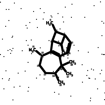 CC1C2C=CC3=C(C1C2C)N(C)CCC(C)C3(C)C